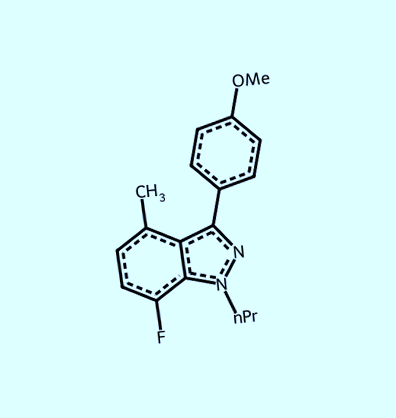 CCCn1nc(-c2ccc(OC)cc2)c2c(C)ccc(F)c21